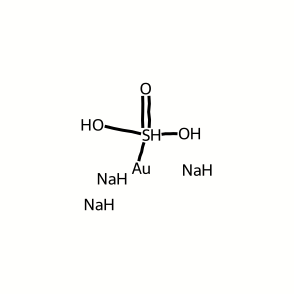 O=[SH](O)(O)[Au].[NaH].[NaH].[NaH]